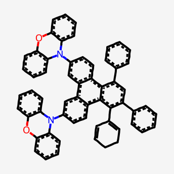 C1=CC(c2c(-c3ccccc3)cc(-c3ccccc3)c3c4ccc(N5c6ccccc6Oc6ccccc65)cc4c4cc(N5c6ccccc6Oc6ccccc65)ccc4c23)=CCC1